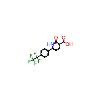 O=C(O)c1ccc(-c2ccc(C(F)(F)C(F)(F)F)cc2)[nH]c1=O